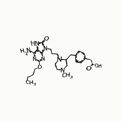 CCCCOc1nc(N)c2[nH]c(=O)n(CCCN3CCN(C)CC3Cc3ccc(CC(=O)O)cc3)c2n1